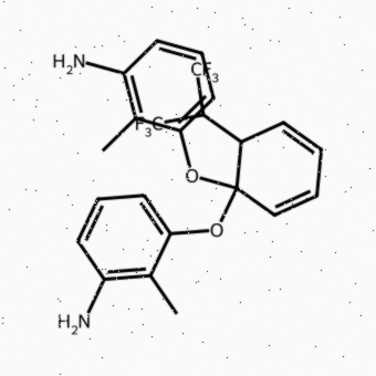 Cc1c(N)cccc1OC1(Oc2cccc(N)c2C)C=CC=CC1C(C(F)(F)F)C(F)(F)F